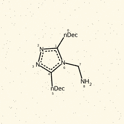 CCCCCCCCCCc1nnc(CCCCCCCCCC)n1CN